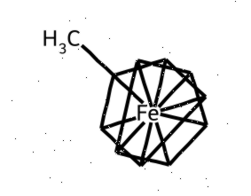 C[C]12[CH]3[CH]4[CH]5[CH]1[Fe]45321678[CH]2[CH]1[CH]6[CH]7[CH]28